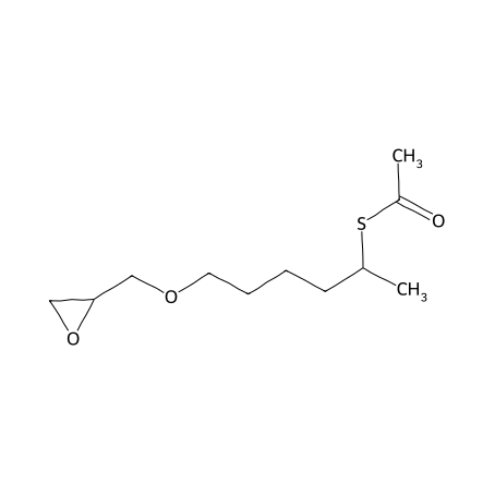 CC(=O)SC(C)CCCCOCC1CO1